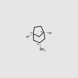 N[C@@H]1C[C@H]2CC[C@@H](C1)C2